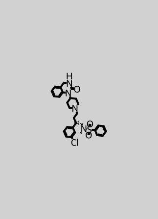 CN(C[C@@H](CCN1CCC(N2C(=O)NCc3ccccc32)CC1)c1cccc(Cl)c1)S(=O)(=O)c1ccccc1